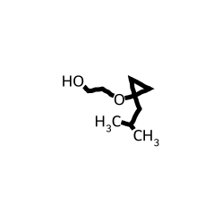 CC(C)CC1(OCCO)CC1